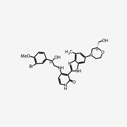 COc1ccc([C@@H](O)CNc2cc[nH]c(=O)c2-c2nc3c(C)cc(N4CCO[C@@H](CO)C4)cc3[nH]2)cc1Br